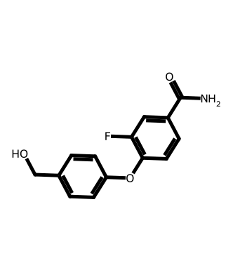 NC(=O)c1ccc(Oc2ccc(CO)cc2)c(F)c1